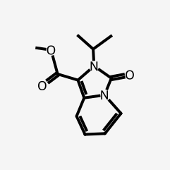 COC(=O)c1c2ccccn2c(=O)n1C(C)C